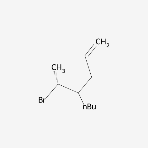 C=CCC(CCCC)[C@@H](C)Br